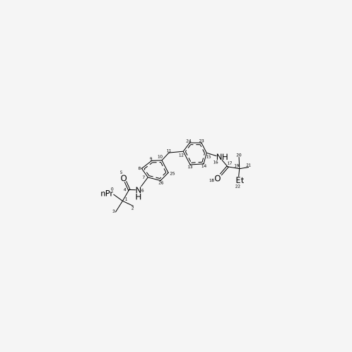 CCCC(C)(C)C(=O)Nc1ccc(Cc2ccc(NC(=O)C(C)(C)CC)cc2)cc1